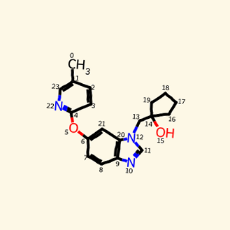 Cc1ccc(Oc2ccc3ncn(CC4(O)CCCC4)c3c2)nc1